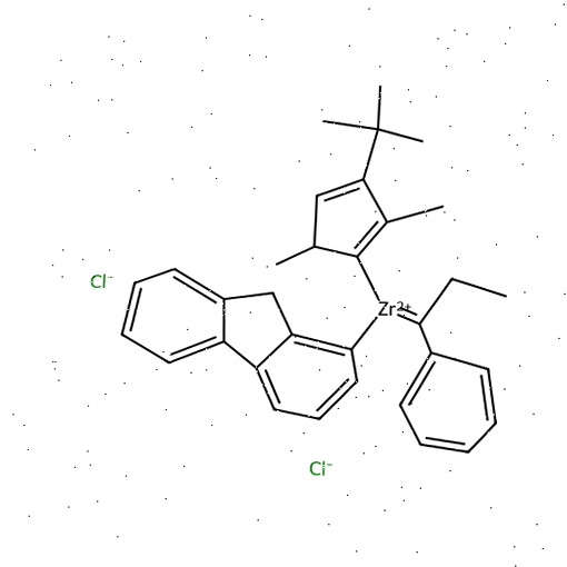 CC/[C](c1ccccc1)=[Zr+2](\[C]1=C(C)C(C(C)(C)C)=CC1C)[c]1cccc2c1Cc1ccccc1-2.[Cl-].[Cl-]